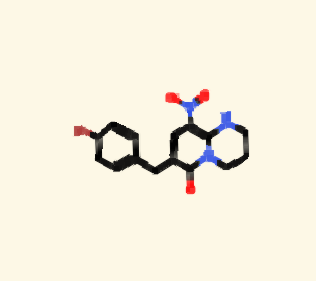 O=c1c(Cc2ccc(Br)cc2)cc([N+](=O)[O-])c2n1CCCN2